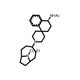 CCOC(=O)N1C2CCC(N3CCC4(CC[C@H](NC(C)=O)c5ccccc54)CC3)CCC1CC2